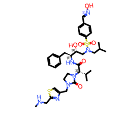 CNCc1nc(CN2CCN([C@H](C(=O)N[C@@H](Cc3ccccc3)[C@H](O)CN(CC(C)C)S(=O)(=O)c3ccc(/C=N/O)cc3)C(C)C)C2=O)cs1